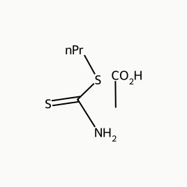 CC(=O)O.CCCSC(N)=S